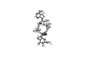 C[PH]1(S)OC[C@H]2O[C@@H](n3ccc4c(N)ncnc43)C(O)C2OP(=O)(O)OC[C@H]2O[C@@H](n3cnc4c(=O)[nH]c(N)nc43)C(O1)C2O